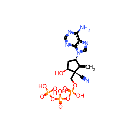 C=C1[C@@H](n2cnc3c(N)ncnc32)C[C@H](O)[C@@]1(C#N)COP(=O)(O)OP(=O)(O)OP(=O)(O)O